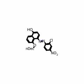 CCCCCCCCCCOc1cccc2c(O)ccc(/N=N/c3ccc([N+](=O)[O-])cc3Cl)c12